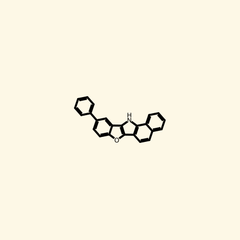 c1ccc(-c2ccc3oc4c5ccc6ccccc6c5[nH]c4c3c2)cc1